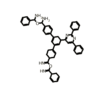 N=C(OC(=N)C1CC=C(C2=CC(c3cc(-c4ccccc4)nc(-c4ccccc4)n3)CC(c3ccc(C(N)OC(N)c4ccccc4)cc3)=C2)CC1)C1C=CC=CC1